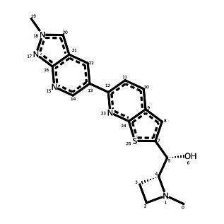 CN1CC[C@@H]1[C@@H](O)c1cc2ccc(-c3cnc4nn(C)cc4c3)nc2s1